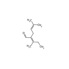 CC/C(C)=C(/C=O)CC=C(C)C